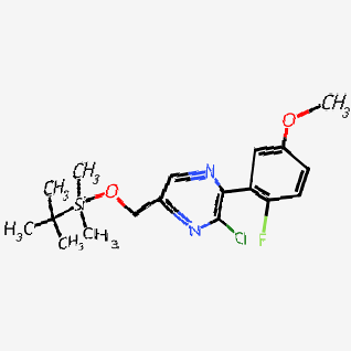 COc1ccc(F)c(-c2ncc(CO[Si](C)(C)C(C)(C)C)nc2Cl)c1